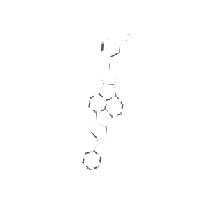 Fc1cccc(C2=CC3c4ccc5c6c(ccc(c46)C3S2)C2CC(C3=CC(F)CC=C3)SC52)c1